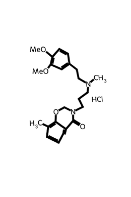 COc1ccc(CCN(C)CCCN2COc3c(C)cccc3C2=O)cc1OC.Cl